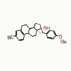 CCCCOc1ccc(C[C@]2(O)CCC3C4CCc5cc(C#N)ccc5C4CC[C@@]32C)cc1